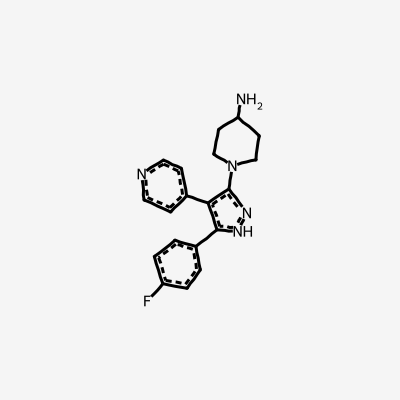 NC1CCN(c2n[nH]c(-c3ccc(F)cc3)c2-c2ccncc2)CC1